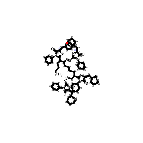 [CH2]CCCC(C1=N/C(=C\c2ccccn2)C(=O)N1c1ccccc1)C(CCCCC(CSSC1=NC(=Cc2ccccn2)C(=O)N1c1ccccc1)C1=NC(=Cc2ccccn2)C(=O)N1c1ccccc1)SSC1=N/C(=C\c2ccccn2)C(=O)N1c1ccccc1